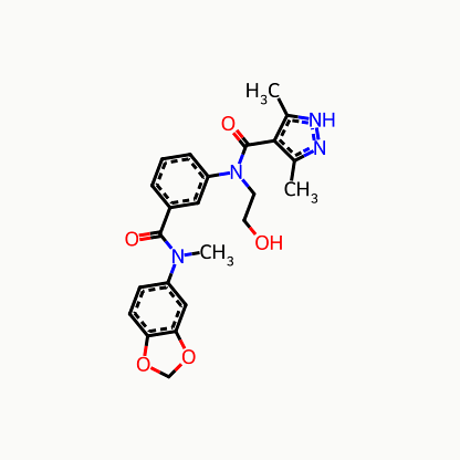 Cc1n[nH]c(C)c1C(=O)N(CCO)c1cccc(C(=O)N(C)c2ccc3c(c2)OCO3)c1